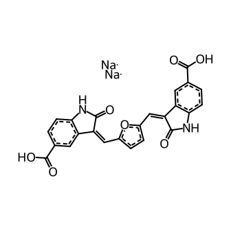 O=C1Nc2ccc(C(=O)O)cc2C1=Cc1ccc(C=C2C(=O)Nc3ccc(C(=O)O)cc32)o1.[Na].[Na]